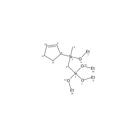 CCO[Si](C[Si](C)(OCC)C1C=CCC1)(OCC)OCC